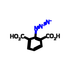 [N-]=[N+]=Nc1c(C(=O)O)cccc1C(=O)O